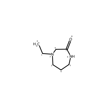 CCN1CCCNC(=O)C1